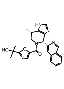 C[C@H]1CN(C(=O)c2cnc(C(C)(C)O)o2)[C@@H](c2cc3ccccc3cn2)c2nc[nH]c21